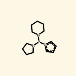 c1ccn(P(N2CCCCC2)N2CCCC2)c1